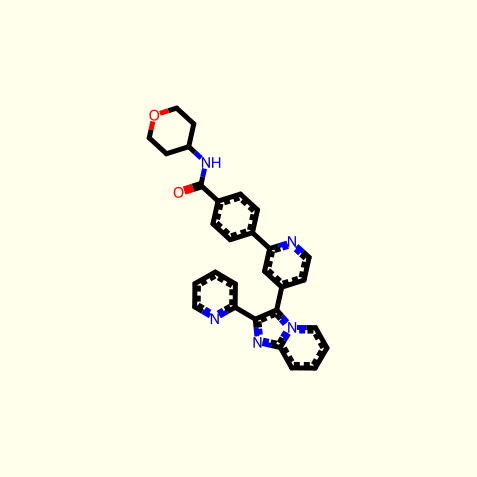 O=C(NC1CCOCC1)c1ccc(-c2cc(-c3c(-c4ccccn4)nc4ccccn34)ccn2)cc1